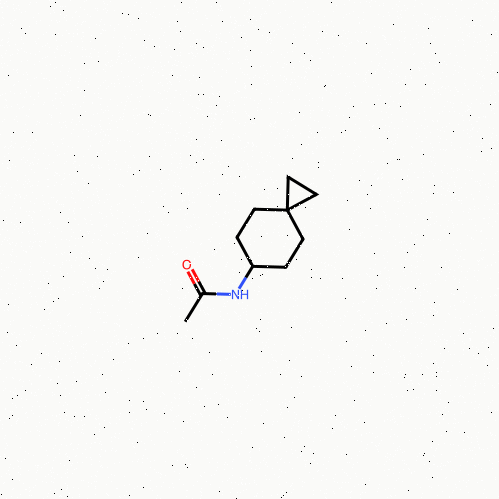 CC(=O)NC1CCC2(CC1)CC2